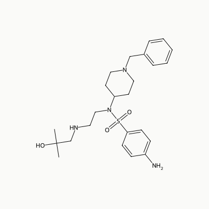 CC(C)(O)CNCCN(C1CCN(Cc2ccccc2)CC1)S(=O)(=O)c1ccc(N)cc1